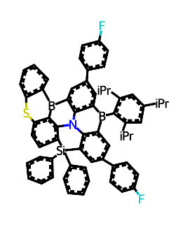 CC(C)c1cc(C(C)C)c(B2c3cc(-c4ccc(F)cc4)cc4c3N3c5c2cc(-c2ccc(F)cc2)cc5[Si](c2ccccc2)(c2ccccc2)c2ccc5c(c23)B4c2ccccc2S5)c(C(C)C)c1